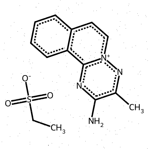 CCS(=O)(=O)[O-].Cc1n[n+]2ccc3ccccc3c2nc1N